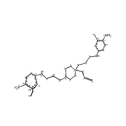 C=CC[N+]1(CCCNc2ccc(N)c(C)c2)CCN(CCCNc2ccc(N)c(C)c2)CC1